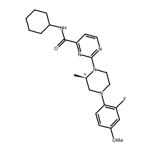 COc1ccc(N2CCN(c3nccc(C(=O)NC4CCCCC4)n3)[C@H](C)C2)c(F)c1